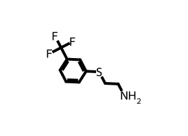 NCCSc1cccc(C(F)(F)F)c1